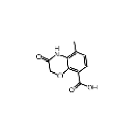 Cc1ccc(C(=O)O)c2c1NC(=O)CO2